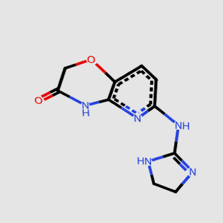 O=C1COc2ccc(NC3=NCCN3)nc2N1